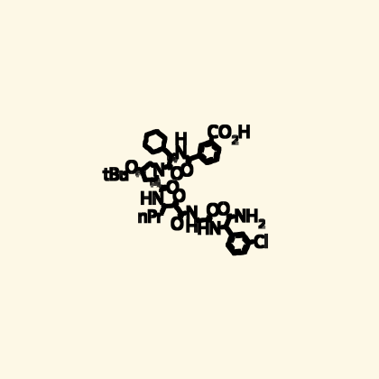 CCCC(NC(=O)[C@@H]1C[C@@H](OC(C)(C)C)CN1C(=O)[C@@H](NC(=O)c1cccc(C(=O)O)c1)C1CCCCC1)C(=O)C(=O)NCC(=O)NC(C(N)=O)c1cccc(Cl)c1